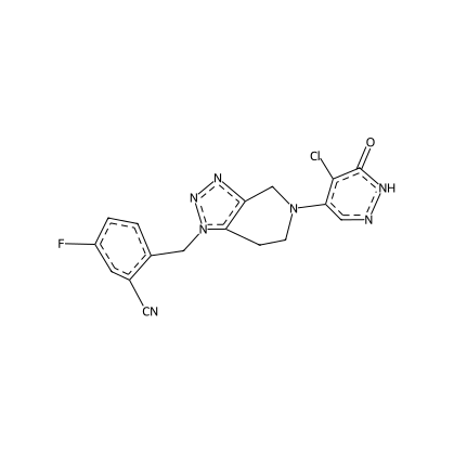 N#Cc1cc(F)ccc1Cn1nnc2c1CCN(c1cn[nH]c(=O)c1Cl)C2